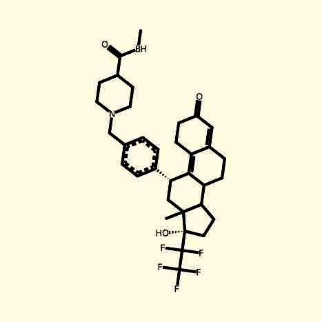 CBC(=O)C1CCN(Cc2ccc([C@H]3CC4(C)C(CC[C@@]4(O)C(F)(F)C(F)(F)F)C4CCC5=CC(=O)CCC5=C43)cc2)CC1